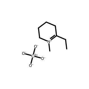 CCC1=[N+](C)CCCC1.[O-][Cl+3]([O-])([O-])[O-]